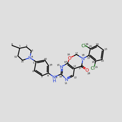 CC1CCN(c2ccc(Nc3ncc4c(n3)OCN(c3c(Cl)cccc3Cl)C4=O)cc2)CC1